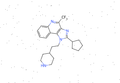 FC(F)(F)c1nc2ccccc2c2c1nc(C1CCCC1)n2CCC1CCNCC1